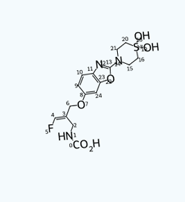 O=C(O)NC/C(=C\F)COc1ccc2nc(N3CCS(O)(O)CC3)oc2c1